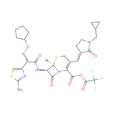 Nc1nc(/C(=N/OC2CCCC2)C(=O)N[C@@H]2C(=O)N3C(C(=O)OC(=O)C(F)(F)F)=C(C=C4CCN(CC5CC5)C4=O)CS[C@H]23)cs1